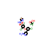 Nc1cc(-c2cc(Cl)ccc2Oc2cc(F)c(S(=O)(=O)Nc3cscn3)cc2Cl)ccn1.O=C(O)C(F)(F)F